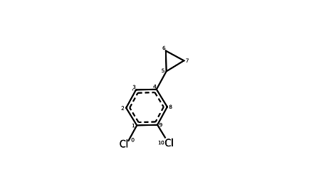 Clc1c[c]c(C2CC2)cc1Cl